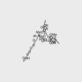 C/C=C/C1=CN2C(=O)c3cc(OC)c(OCCCOc4cc5c(cc4OC)C(=O)N4C=C(/C=C/C)C[C@H]4[C@H](O)N5C(=O)OCc4ccc(NC(=O)[C@H](C)NC(=O)[C@@H](CCCC(=O)CCOCCOCCOCCOCCNC(=O)CI)C(C)C)cc4)cc3N=C[C@@H]2C1